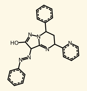 OC1=NN2C(=NC(c3ccccn3)CC2c2ccccc2)C1N=Nc1ccccc1